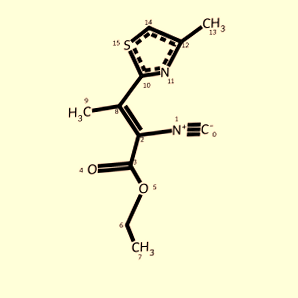 [C-]#[N+]C(C(=O)OCC)=C(C)c1nc(C)cs1